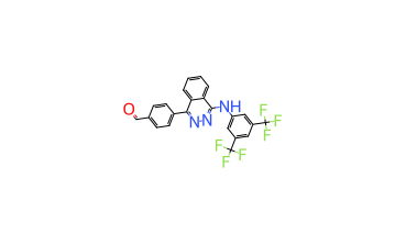 O=Cc1ccc(-c2nnc(Nc3cc(C(F)(F)F)cc(C(F)(F)F)c3)c3ccccc23)cc1